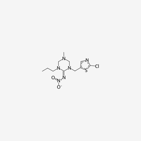 CCCN1CN(C)CN(Cc2cnc(Cl)s2)C1=N[N+](=O)[O-]